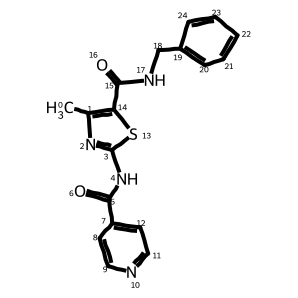 Cc1nc(NC(=O)c2ccncc2)sc1C(=O)NCc1ccccc1